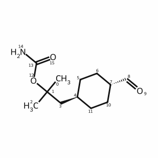 CC(C)(C[C@H]1CC[C@H](C=O)CC1)OC(N)=O